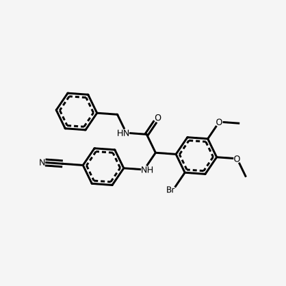 COc1cc(Br)c(C(Nc2ccc(C#N)cc2)C(=O)NCc2ccccc2)cc1OC